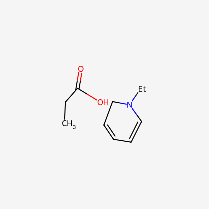 CCC(=O)O.CCN1C=CC=CC1